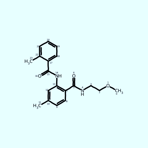 COCCNC(=O)c1ccc(C)cc1NC(=O)c1ccccc1C